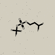 O=S(=O)(OCCC(F)F)OC(F)(F)F